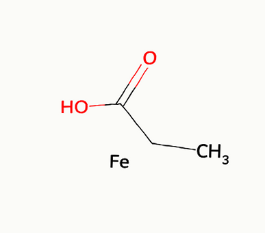 CCC(=O)O.[Fe]